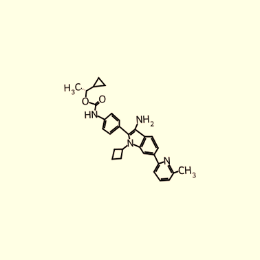 Cc1cccc(-c2ccc3c(N)c(-c4ccc(NC(=O)O[C@H](C)C5CC5)cc4)n(C4CCC4)c3c2)n1